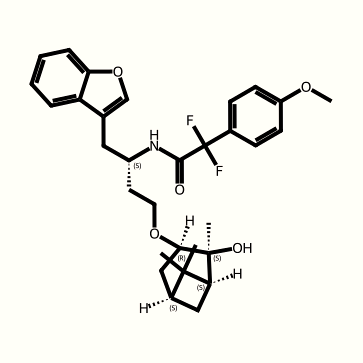 COc1ccc(C(F)(F)C(=O)N[C@H](CCO[C@@H]2C[C@@H]3C[C@@H](C3(C)C)[C@]2(C)O)Cc2coc3ccccc23)cc1